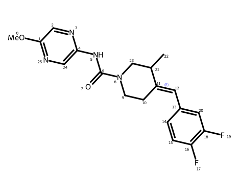 COc1cnc(NC(=O)N2CC/C(=C\c3ccc(F)c(F)c3)C(C)C2)cn1